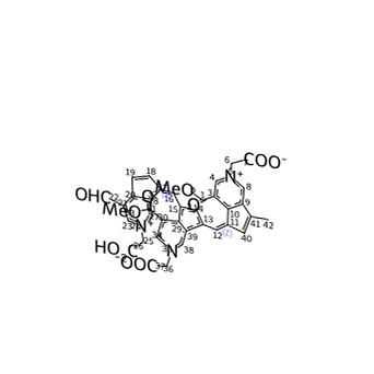 COC(=O)c1c[n+](CC(=O)[O-])cc2c1/C(=C\c1cc(/C=C3/C=Cc4c(C=O)c[n+](CC(=O)O)cc43)c3c(C(=O)OC)cn(CC(=O)[O-])cc1-3)C=C2C